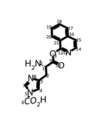 N[C@@H](Cc1cn(C(=O)O)cn1)C(=O)Oc1nccc2ccccc12